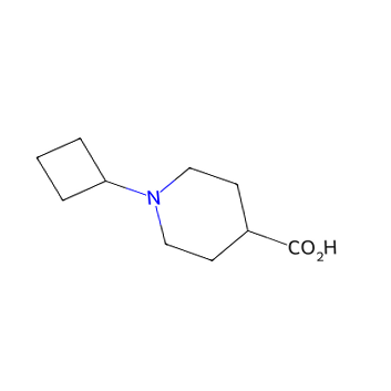 O=C(O)C1CCN(C2CCC2)CC1